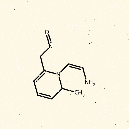 CC1C=CC=C(CN=O)N1/C=C\N